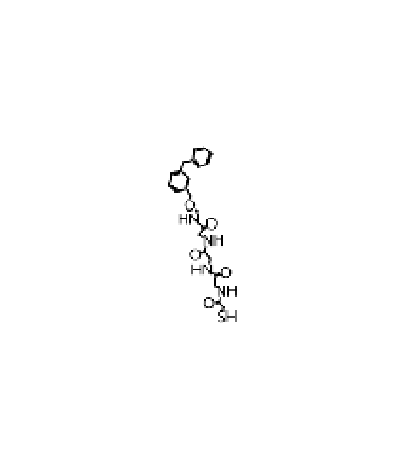 O=C(CS)NCC(=O)NCC(=O)NCC(=O)NCOCc1cccc(Cc2ccccc2)c1